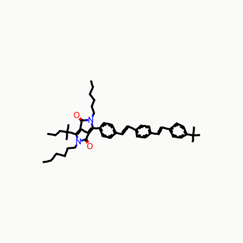 CCCCCCN1C(=O)C2=C(C(C)(C)CCC)N(CCCCCC)C(=O)C2=C1c1ccc(/C=C/c2ccc(/C=C/c3ccc(C(C)(C)C)cc3)cc2)cc1